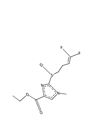 CCOC(=O)c1cn(C)c([S+]([O-])CCC=C(F)F)n1